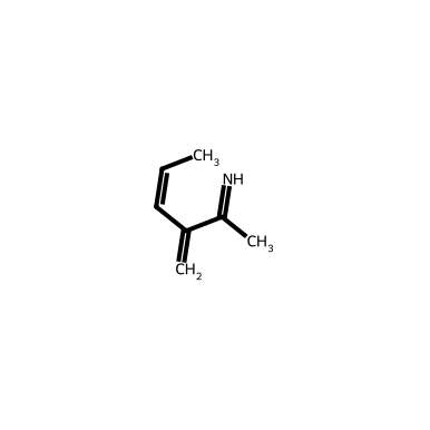 C=C(/C=C\C)C(C)=N